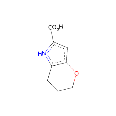 O=C(O)c1cc2c([nH]1)CCCO2